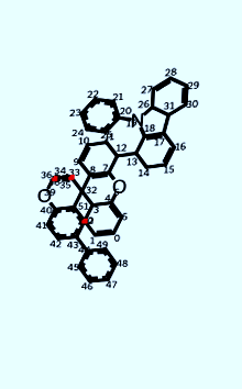 C1=CCC2C(=C1)OC1=C(C=CCC1C1CC=CC3=C1N(c1ccccc1)C1C=CC=CC31)C21c2ccccc2Oc2ccc(-c3ccccc3)cc21